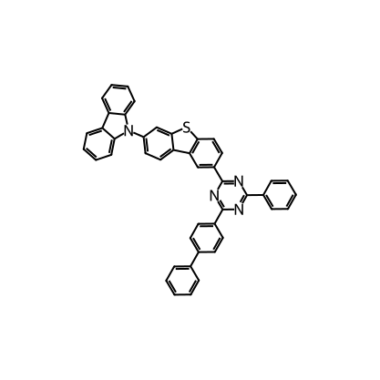 c1ccc(-c2ccc(-c3nc(-c4ccccc4)nc(-c4ccc5sc6cc(-n7c8ccccc8c8ccccc87)ccc6c5c4)n3)cc2)cc1